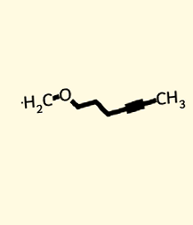 [CH2]OCCCC#CC